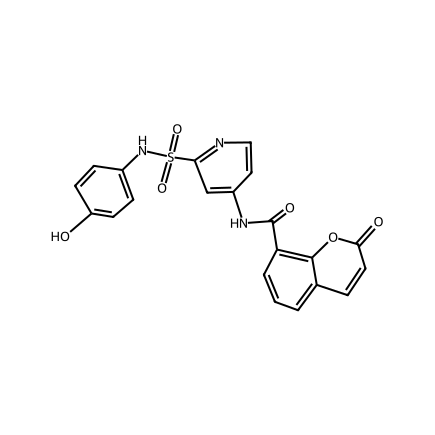 O=C(Nc1ccnc(S(=O)(=O)Nc2ccc(O)cc2)c1)c1cccc2ccc(=O)oc12